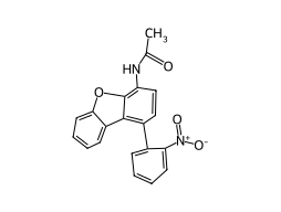 CC(=O)Nc1ccc(-c2ccccc2[N+](=O)[O-])c2c1oc1ccccc12